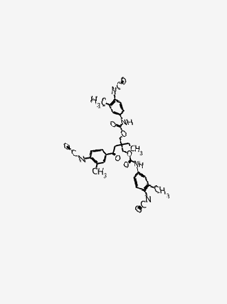 CCC(COC(=O)Nc1ccc(N=C=O)c(C)c1)(COC(=O)Nc1ccc(N=C=O)c(C)c1)CC(=O)c1ccc(N=C=O)c(C)c1